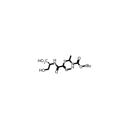 C/N=C(\SC(C)NC(=O)OC(C)(C)C)C(=O)N[C@@H](CO)C(=O)O